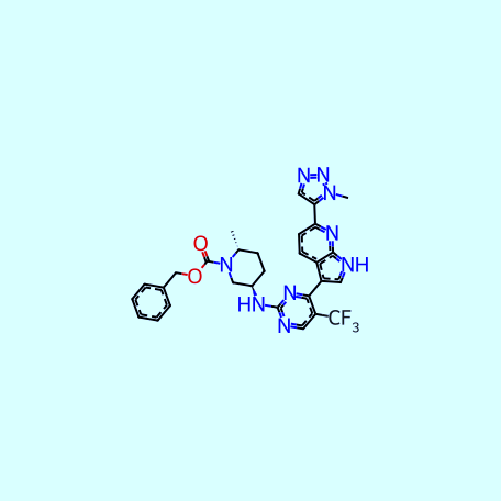 C[C@@H]1CC[C@@H](Nc2ncc(C(F)(F)F)c(-c3c[nH]c4nc(-c5cnnn5C)ccc34)n2)CN1C(=O)OCc1ccccc1